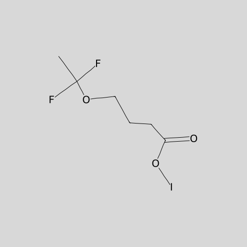 CC(F)(F)OCCCC(=O)OI